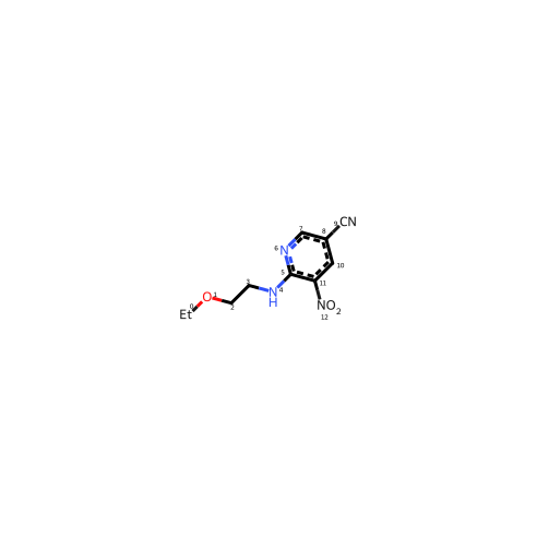 CCOCCNc1ncc(C#N)cc1[N+](=O)[O-]